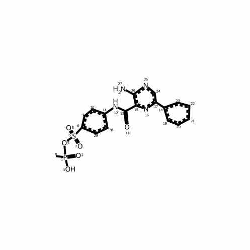 CP(=O)(O)OS(=O)(=O)c1ccc(NC(=O)c2nc(-c3ccccc3)cnc2N)cc1